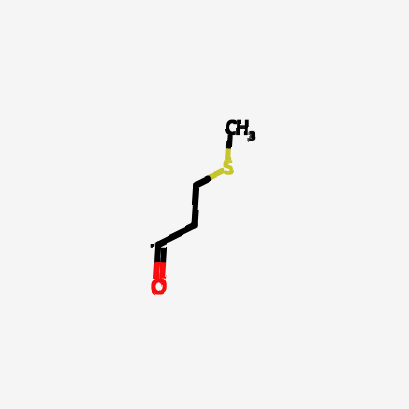 CSCC[C]=O